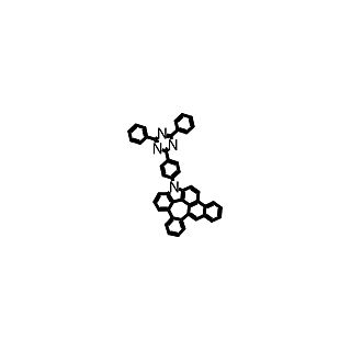 c1ccc(-c2nc(-c3ccccc3)nc(-c3ccc(-n4c5cccc6c5c5c7c(cc8ccccc8c7ccc54)-c4ccccc4-6)cc3)n2)cc1